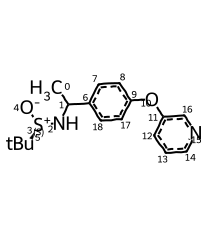 CC(N[S@+]([O-])C(C)(C)C)c1ccc(Oc2cccnc2)cc1